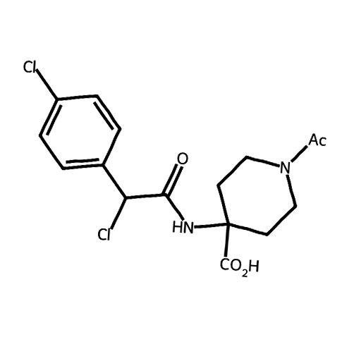 CC(=O)N1CCC(NC(=O)C(Cl)c2ccc(Cl)cc2)(C(=O)O)CC1